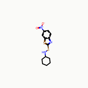 O=[N+]([O-])c1ccc2nc(SNC3CCCCC3)sc2c1